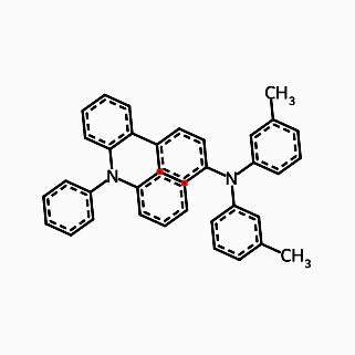 Cc1cccc(N(c2ccc(-c3ccccc3N(c3ccccc3)c3ccccc3)cc2)c2cccc(C)c2)c1